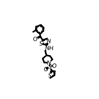 Cc1ccccc1C(=O)c1cnc(NCC2CCN(S(=O)(=O)c3cccs3)CC2)s1